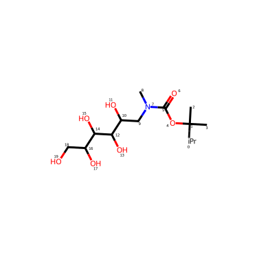 CC(C)C(C)(C)OC(=O)N(C)CC(O)C(O)C(O)C(O)CO